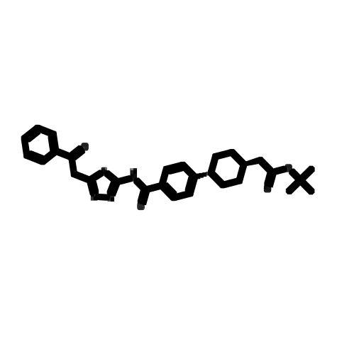 CC(C)(C)OC(=O)C[C@H]1CC[C@H](c2ccc(C(=O)Nc3nnc(CC(=O)c4ccccc4)s3)cc2)CC1